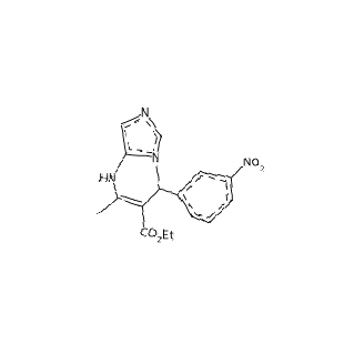 CCOC(=O)C1=C(C)Nc2cncn2C1c1cccc([N+](=O)[O-])c1